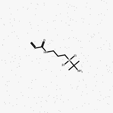 C=CC(=O)NCCC[Si](CC)(CC)C(C)(C)N